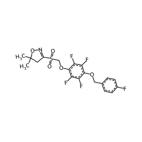 CC1(C)CC(S(=O)(=O)COc2c(F)c(F)c(OCc3ccc(F)cc3)c(F)c2F)=NO1